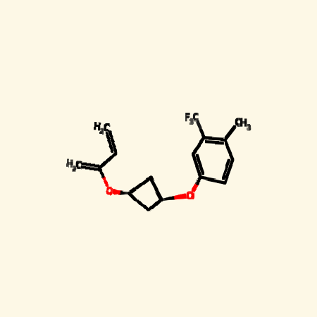 C=CC(=C)O[C@H]1C[C@@H](Oc2ccc(C)c(C(F)(F)F)c2)C1